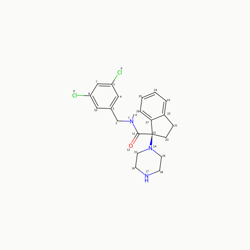 CN(Cc1cc(Cl)cc(Cl)c1)C(=O)[C@@]1(N2CCNCC2)CCc2ccccc21